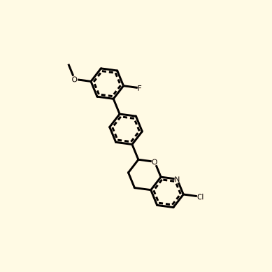 COc1ccc(F)c(-c2ccc(C3CCc4ccc(Cl)nc4O3)cc2)c1